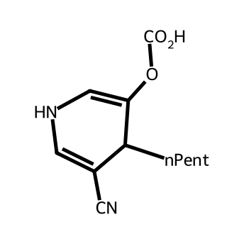 CCCCCC1C(C#N)=CNC=C1OC(=O)O